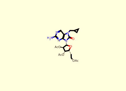 CC(=O)OCC[C@H]1O[C@@H](n2c(=O)n(CC3CC3)c3cnc(N)nc32)[C@H](OC(C)=O)[C@H]1OC(C)=O